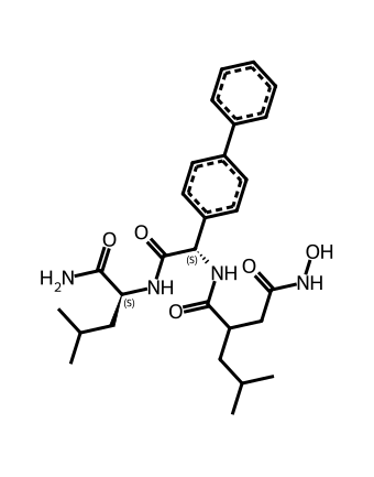 CC(C)CC(CC(=O)NO)C(=O)N[C@H](C(=O)N[C@@H](CC(C)C)C(N)=O)c1ccc(-c2ccccc2)cc1